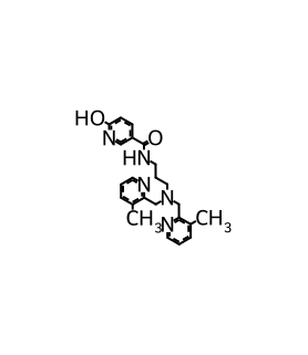 Cc1cccnc1CN(CCCNC(=O)c1ccc(O)nc1)Cc1ncccc1C